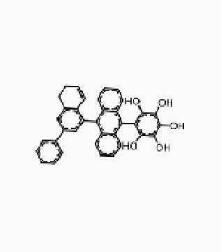 Oc1c(O)c(O)c(-c2c3ccccc3c(-c3cc(-c4ccccc4)cc4c3C=CCC4)c3ccccc23)c(O)c1O